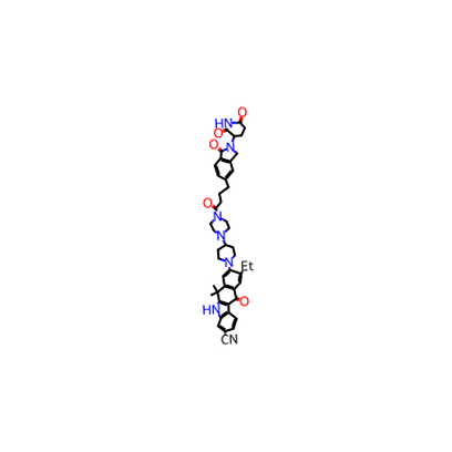 CCc1cc2c(cc1N1CCC(N3CCN(C(=O)CCCc4ccc5c(c4)CN(C4CCC(=O)NC4=O)C5=O)CC3)CC1)C(C)(C)c1[nH]c3cc(C#N)ccc3c1C2=O